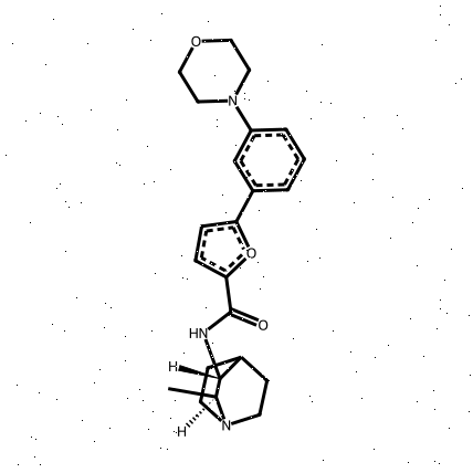 C[C@H]1[C@H](NC(=O)c2ccc(-c3cccc(N4CCOCC4)c3)o2)C2CCN1CC2